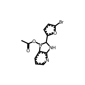 CC(=O)ON1c2cccnc2NC1c1ccc(Br)o1